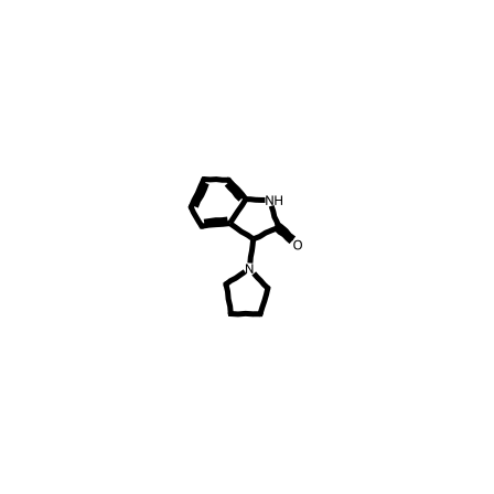 O=C1Nc2ccccc2C1N1CCCC1